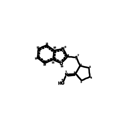 ON=C1CCCC1Sc1nc2ccccc2o1